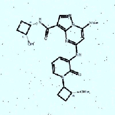 CNc1cc(Nc2cccn(C3CC[C@H]3OC)c2=O)nc2c(C(=O)N[C@H]3CC[C@H]3O)cnn12